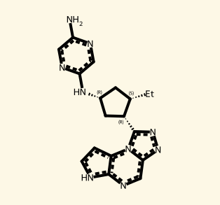 CC[C@H]1C[C@@H](Nc2cnc(N)cn2)C[C@H]1c1nnc2cnc3[nH]ccc3n12